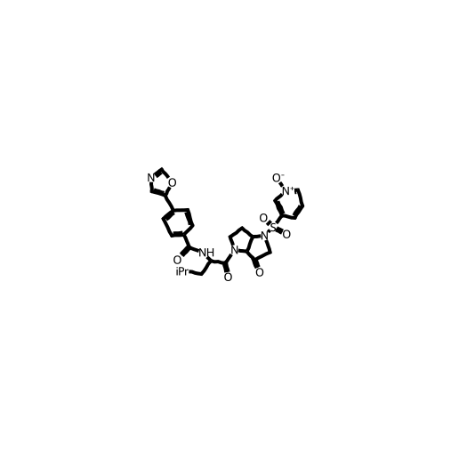 CC(C)CC(NC(=O)c1ccc(-c2cnco2)cc1)C(=O)N1CCC2C1C(=O)CN2S(=O)(=O)c1ccc[n+]([O-])c1